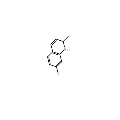 Cc1ccc2c(c1)NC(C)C=C2